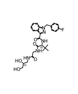 CC(C)(C)[C@H](NC(=O)c1nn(Cc2ccc(F)cc2)c2ccccc12)C(=O)NCC(=O)NC[C@H](O)CO